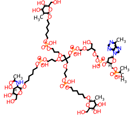 CC(=O)NC1[C@H](OCCCCCCOP(=O)(O)OCCCOCC(COCCCOP(=O)(O)OCCCCCCO[C@@H]2OC(CO)[C@H](O)[C@H](O)C2C)(COCCCOP(=O)(O)OCCCCCCO[C@@H]2OC(CO)[C@H](O)[C@H](O)C2C)COP(=O)(O)OCOCC(CO)COCOP(=O)(O)O[C@H]2C[C@H](n3cnc4c(C)ncnc43)O[C@@H]2COP(=O)(O)C(C)C)OC(CO)[C@H](O)[C@@H]1O